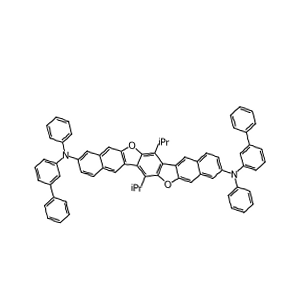 CC(C)c1c2oc3cc4cc(N(c5ccccc5)c5cccc(-c6ccccc6)c5)ccc4cc3c2c(C(C)C)c2oc3cc4cc(N(c5ccccc5)c5cccc(-c6ccccc6)c5)ccc4cc3c12